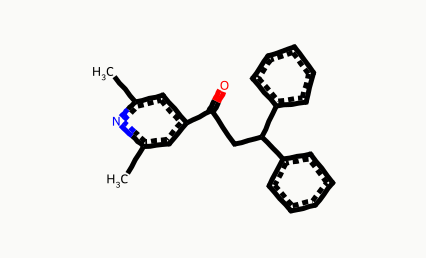 Cc1cc(C(=O)CC(c2ccccc2)c2ccccc2)cc(C)n1